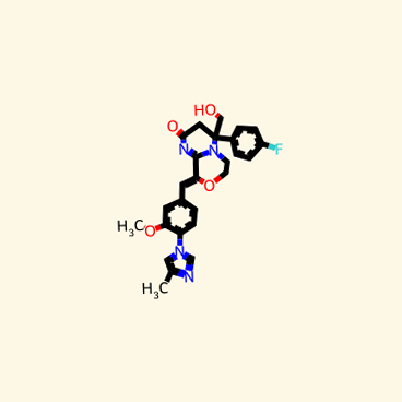 COc1cc(/C=C2\OCCN3C2=NC(=O)CC3(CO)c2ccc(F)cc2)ccc1-n1cnc(C)c1